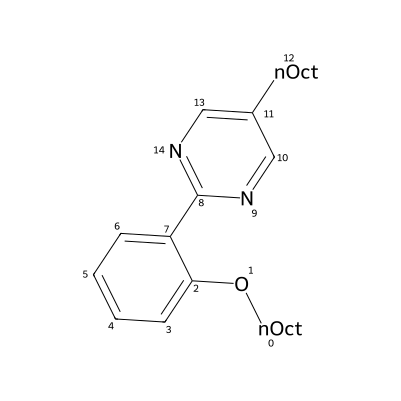 CCCCCCCCOc1ccccc1-c1ncc(CCCCCCCC)cn1